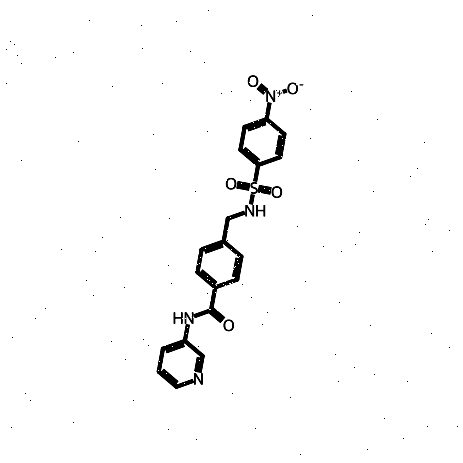 O=C(Nc1cccnc1)c1ccc(CNS(=O)(=O)c2ccc([N+](=O)[O-])cc2)cc1